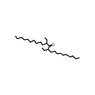 CCCCCCCCCCC(CC)C(=O)C(CC)CCCCCCCCCC